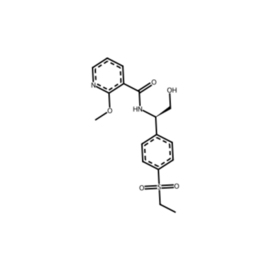 CCS(=O)(=O)c1ccc([C@H](CO)NC(=O)c2cccnc2OC)cc1